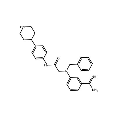 N=C(N)c1cccc(N(CC(=O)Nc2ccc(C3CCNCC3)cc2)Cc2ccccc2)c1